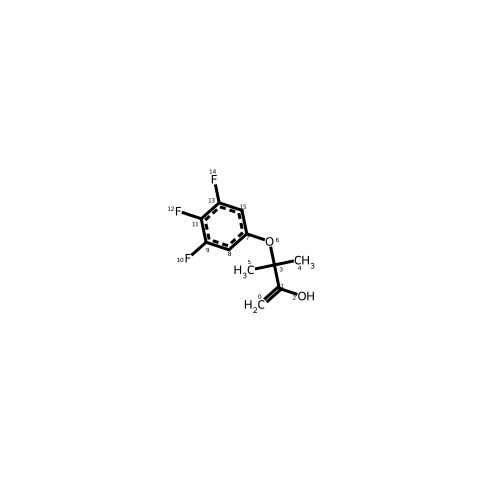 C=C(O)C(C)(C)Oc1cc(F)c(F)c(F)c1